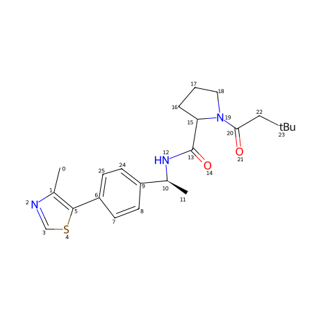 Cc1ncsc1-c1ccc([C@H](C)NC(=O)C2CCCN2C(=O)CC(C)(C)C)cc1